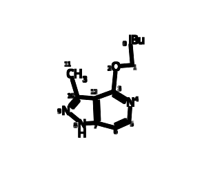 CCC(C)COc1nccc2[nH]nc(C)c12